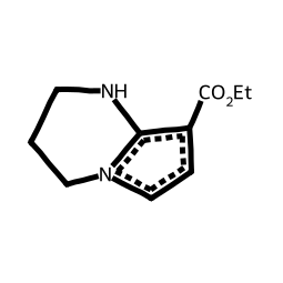 CCOC(=O)c1ccn2c1NCCC2